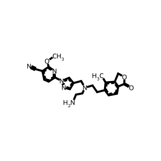 COc1nc(-n2cc(CN(CCN)CCc3ccc4c(c3C)COC4=O)cn2)ccc1C#N